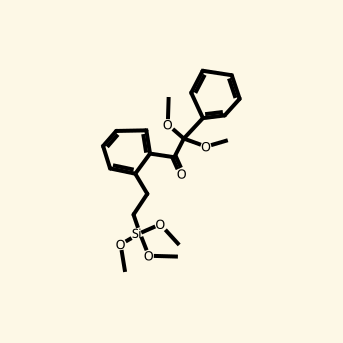 COC(OC)(C(=O)c1ccccc1CC[Si](OC)(OC)OC)c1ccccc1